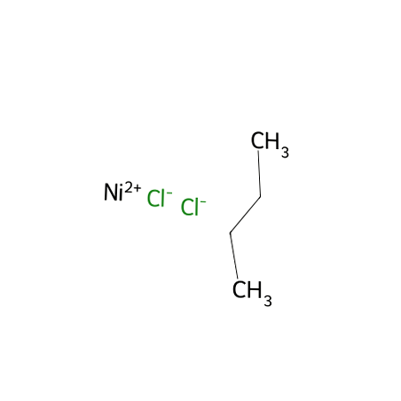 CCCC.[Cl-].[Cl-].[Ni+2]